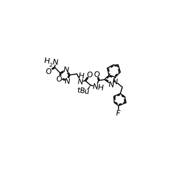 CC(C)(C)[C@H](NC(=O)c1nn(Cc2ccc(F)cc2)c2ccccc12)C(=O)NCc1noc(C(N)=O)n1